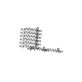 B.CCCCCCCCCC(=O)O.CCCCCCCCCC(=O)O.CCCCCCCCCC(=O)O.CCCCCCCCCC(=O)O.CCCCCCCCCC(=O)O.CCCCCCCCCC(=O)O.CCCCCCCCCC(=O)O.CCCCCCCCCC(=O)O